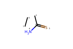 CC.CC(N)=S